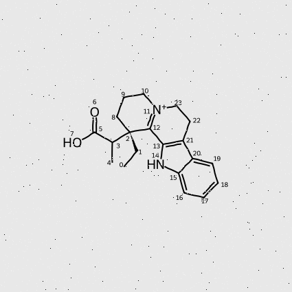 CC[C@@]1(C(C)C(=O)O)CCC[N+]2=C1c1[nH]c3ccccc3c1CC2